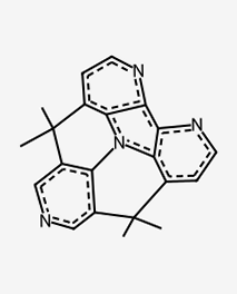 CC1(C)c2cncc3c2-n2c4c1ccnc4c1nccc(c12)C3(C)C